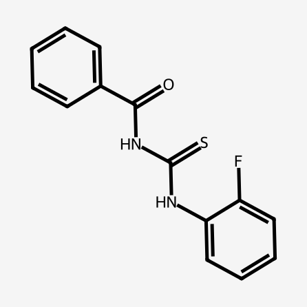 O=C(NC(=S)Nc1ccccc1F)c1ccccc1